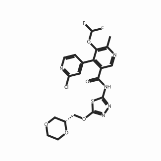 Cc1ncc(C(=O)Nc2nnc(OC[C@H]3COCCO3)s2)c(-c2ccnc(Cl)c2)c1OC(F)F